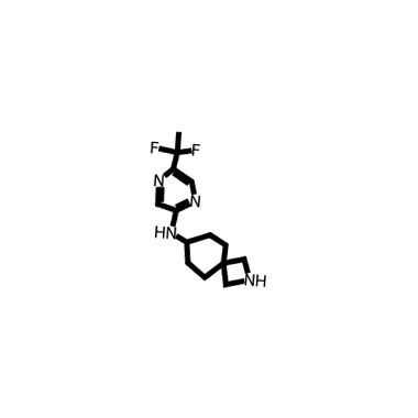 CC(F)(F)c1cnc(NC2CCC3(CC2)CNC3)cn1